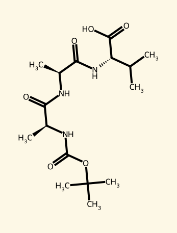 CC(C)[C@H](NC(=O)[C@H](C)NC(=O)[C@H](C)NC(=O)OC(C)(C)C)C(=O)O